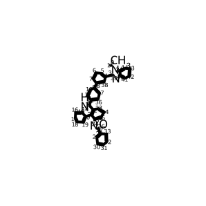 CCn1c(-c2cccc(-c3ccc(C4Nc5ccccc5-c5c4ccc4oc(-c6ccccc6)nc54)cc3)c2)nc2ccccc21